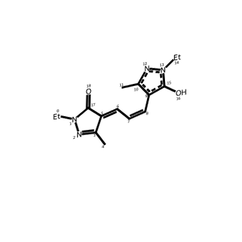 CCN1N=C(C)/C(=C\C=C/c2c(C)nn(CC)c2O)C1=O